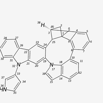 CC12C[C@H]3c4cccc(c41)-c1cccc4ccn(c14)-c1cc4c(cc1C32)c1ccccc1n4-c1cc[nH]c1